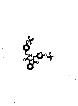 O=C(NCc1ccc(OC(F)(F)F)cc1)C1c2ccccc2C(=O)N1Cc1ccc(OCC(F)(F)F)nc1